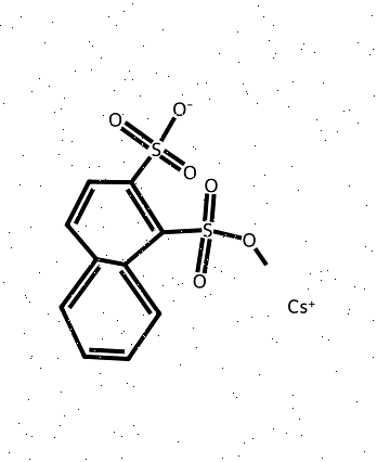 COS(=O)(=O)c1c(S(=O)(=O)[O-])ccc2ccccc12.[Cs+]